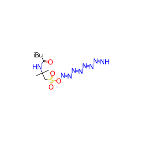 CCC(C)C(=O)NC(C)(C)CS(=O)(=O)O/N=N/N=N/N=N/N=N